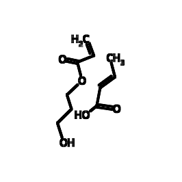 C=CC(=O)OCCCO.CC=CC(=O)O